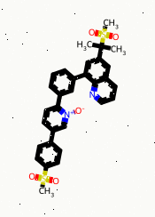 CC(C)(c1cc(-c2cccc(-c3ccc(-c4ccc(S(C)(=O)=O)cc4)c[n+]3[O-])c2)c2ncccc2c1)S(C)(=O)=O